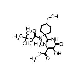 COC(=O)c1nc([C@]2(N(C)C(=O)OC(C)(C)C)CC[C@@H](CO)CC2)[nH]c(=O)c1O